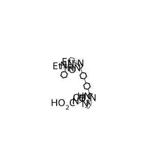 CCN(CC)[C@@H](C(=O)N1CCC[C@H]1c1ncc(-c2ccc(-c3ccc(-c4cnc([C@@H]5CCCN5C(=O)CN(C)C(=O)O)[nH]4)cc3)cc2)[nH]1)c1ccccc1